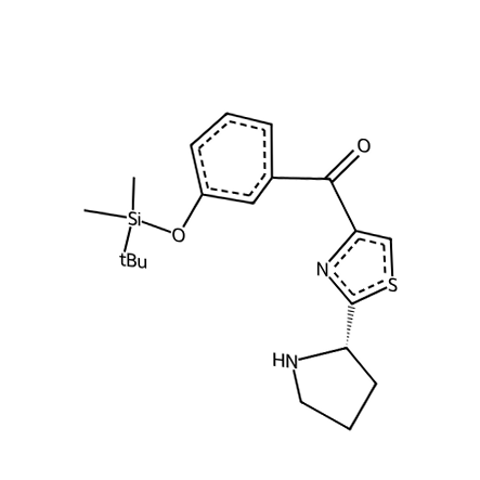 CC(C)(C)[Si](C)(C)Oc1cccc(C(=O)c2csc([C@@H]3CCCN3)n2)c1